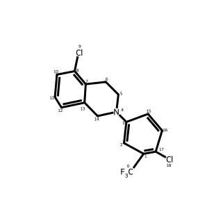 FC(F)(F)c1cc(N2CCc3c(Cl)cccc3C2)ccc1Cl